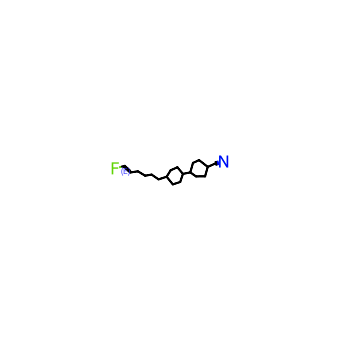 N#CC1CCC(C2CCC(CCCC/C=C/F)CC2)CC1